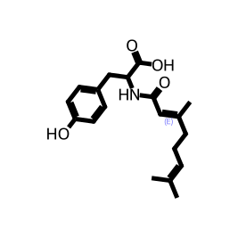 CC(C)=CCC/C(C)=C/C(=O)NC(Cc1ccc(O)cc1)C(=O)O